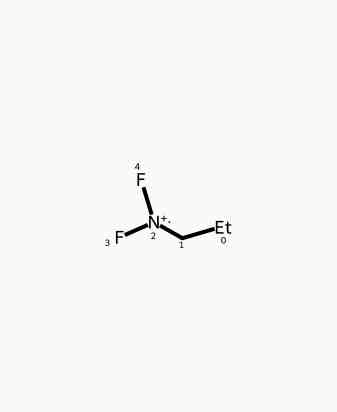 CCC[N+](F)F